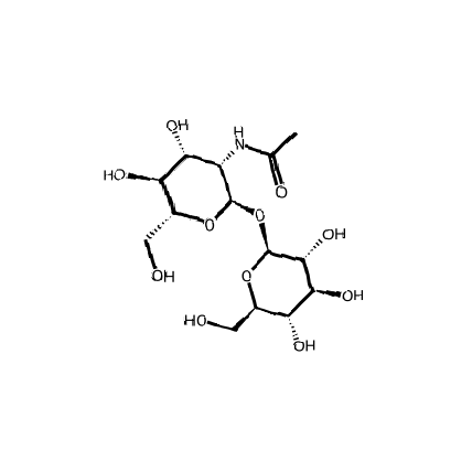 CC(=O)N[C@@H]1[C@@H](O[C@@H]2O[C@H](CO)[C@@H](O)[C@H](O)[C@H]2O)O[C@H](CO)[C@@H](O)[C@@H]1O